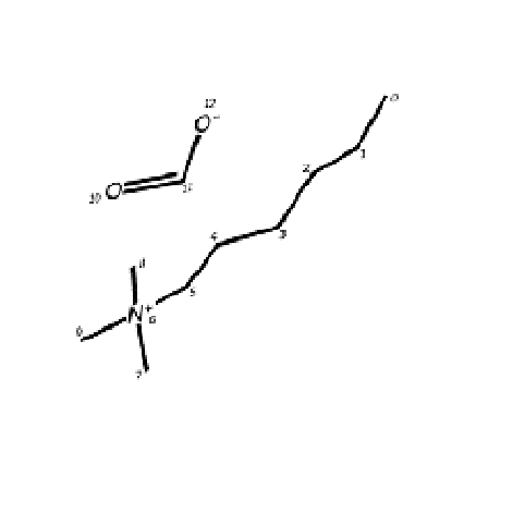 CCCCCC[N+](C)(C)C.O=C[O-]